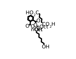 CCCCCCCCOC(=O)c1ccccc1C(=O)OCCCCCCCC.O=C(O)CCCCC(=O)O.OCCCCCCO